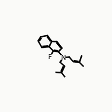 CC(C)=CCN(CC=C(C)C)c1ccc2ccccc2c1F